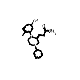 Cc1ccc(O)cc1N1CCN(c2ccccc2)CC1CCC(N)=O